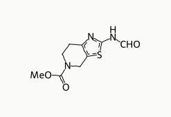 COC(=O)N1CCc2nc(NC=O)sc2C1